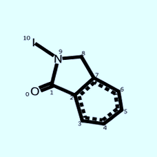 O=C1c2ccccc2CN1I